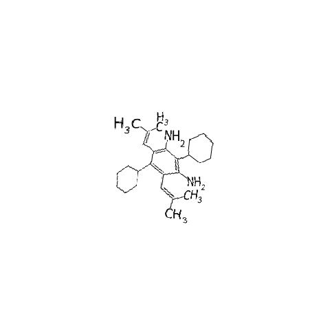 CC(C)=Cc1c(N)c(C2CCCCC2)c(N)c(C=C(C)C)c1C1CCCCC1